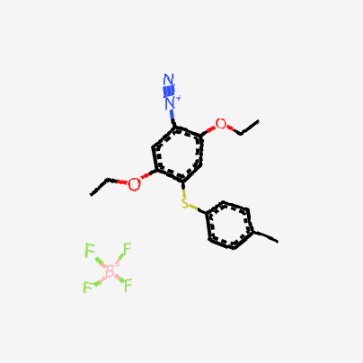 CCOc1cc(Sc2ccc(C)cc2)c(OCC)cc1[N+]#N.F[B-](F)(F)F